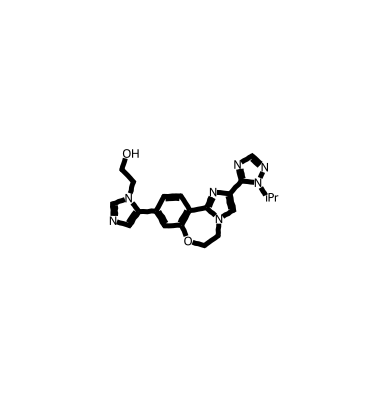 CC(C)n1ncnc1-c1cn2c(n1)-c1ccc(-c3cncn3CCO)cc1OCC2